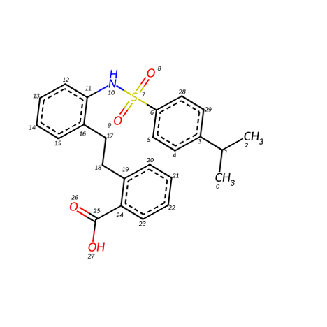 CC(C)c1ccc(S(=O)(=O)Nc2ccccc2CCc2ccccc2C(=O)O)cc1